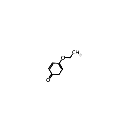 CCOC1=CCC(=O)C=C1